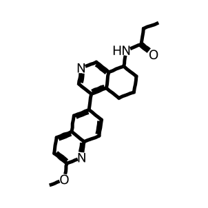 CCC(=O)NC1CCCc2c(-c3ccc4nc(OC)ccc4c3)cncc21